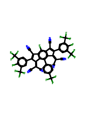 N#CC(C#N)=C1C(c2cc(C(F)(F)F)c(F)c(C(F)(F)F)c2)=C(C#N)c2c(F)c3c(c(-c4ccc(C(F)(F)F)cc4)c21)C(=C(C#N)C#N)C(c1cc(C(F)(F)F)c(F)c(C(F)(F)F)c1)=C3C#N